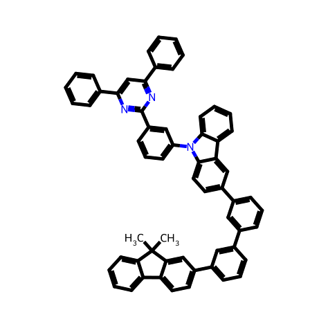 CC1(C)c2ccccc2-c2ccc(-c3cccc(-c4cccc(-c5ccc6c(c5)c5ccccc5n6-c5cccc(-c6nc(-c7ccccc7)cc(-c7ccccc7)n6)c5)c4)c3)cc21